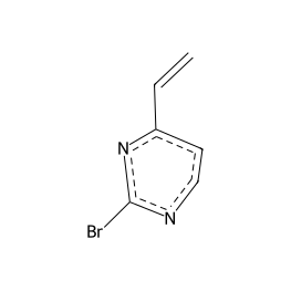 C=Cc1ccnc(Br)n1